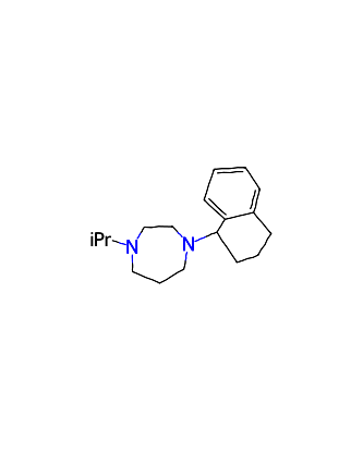 CC(C)N1CCCN(C2CCCc3ccccc32)CC1